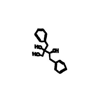 OCC(O)(Cc1ccccc1)[C@@H](O)Cc1ccccc1